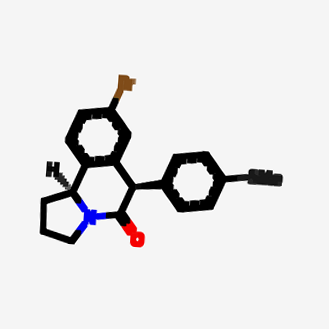 CSc1ccc([C@H]2C(=O)N3CCC[C@H]3c3ccc(Br)cc32)cc1